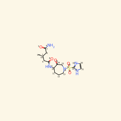 C[C@@H](CC(N)=O)CC(=O)NC1CCCN(S(=O)(=O)c2ncc[nH]2)CC1=O